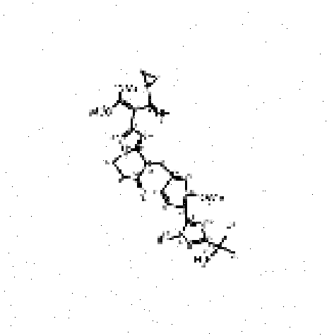 CN/C(OC)=C(\C(=N)C1CC1)c1nc2n(n1)CCC(=O)N2Cc1ccc(-c2nc(C(C)(F)P)cn2C(C)C)c(OC)c1